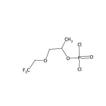 CC(COCC(F)(F)F)OP(=O)(Cl)Cl